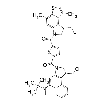 Cc1cc2c(c3c(C)csc13)[C@H](CCl)CN2C(=O)c1ccc(C(=O)N2C[C@@H](CCl)c3c2cc(NC(C)(C)C)c2ccccc32)s1